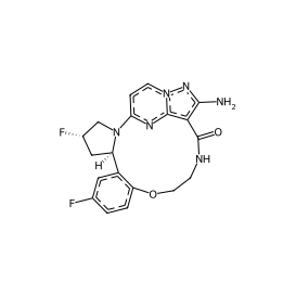 Nc1nn2ccc3nc2c1C(=O)NCCOc1ccc(F)cc1[C@H]1C[C@H](F)CN31